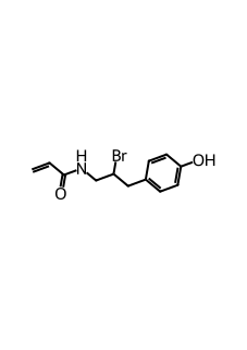 C=CC(=O)NCC(Br)Cc1ccc(O)cc1